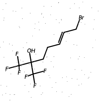 OC(CCC=CCBr)(C(F)(F)F)C(F)(F)F